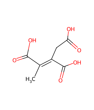 CC(C(=O)O)=C(CC(=O)O)C(=O)O